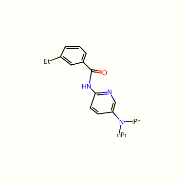 CCCN(c1ccc(NC(=O)c2cccc(CC)c2)nc1)C(C)C